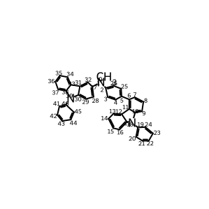 CN(c1ccc(-c2cccc3c2c2ccccc2n3-c2ccccc2)cc1)c1ccc2c(c1)c1ccccc1n2-c1ccccc1